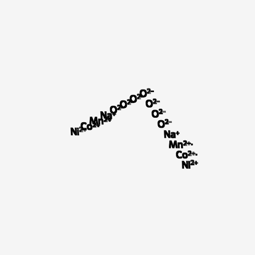 [Co+2].[Co+2].[Mn+2].[Mn+2].[Na+].[Na+].[Ni+2].[Ni+2].[O-2].[O-2].[O-2].[O-2].[O-2].[O-2].[O-2]